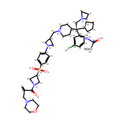 C=C(CN1CCOCC1)C(=O)N1CC(S(=O)(=O)c2ccc(N3CC(CN4CCC([C@@](CN5CCC5)(c5cccc(F)c5)[C@H]5CCC[C@@H]5NC(=O)OC)CC4)C3)cc2)C1